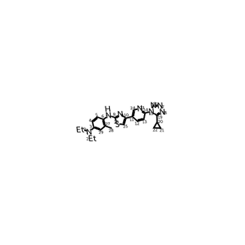 CCN(CC)c1ccc(Nc2nc(-c3ccc(-n4nnnc4C4CC4)nc3)cs2)c(C)c1